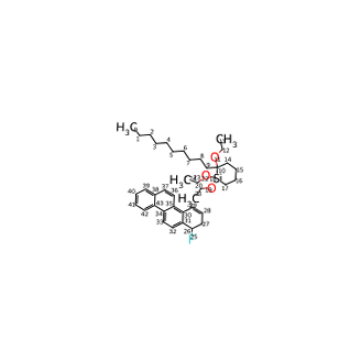 CCCCCCCCCCC1(OCC)CCCC[Si]1(OCC)OCC.FC1CC=Cc2c1ccc1c2ccc2ccccc21